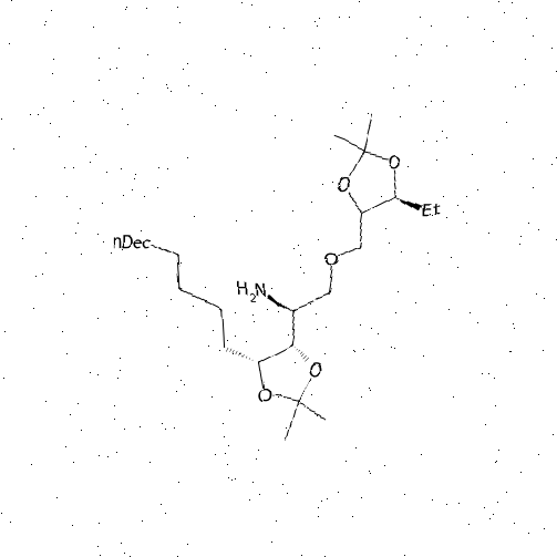 CCCCCCCCCCCCCC[C@H]1OC(C)(C)O[C@H]1[C@@H](N)COCC1OC(C)(C)O[C@H]1CC